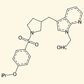 CC(C)Oc1ccc(S(=O)(=O)N2CCC(Cc3cn(CC=O)c4ncccc34)C2)cc1